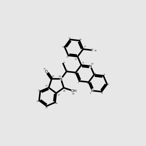 CC(c1cc2ncccc2nc1-c1ccccc1F)N1C(=O)c2ccccc2C1O